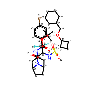 CC(C)(C)OC(=O)NC1CC2CCC(C1)N2C(=O)C(NS(=O)(=O)[C@H]1CCC1OCC1CCCCC1)C(F)(F)c1ccc(Br)cc1